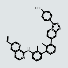 C=Cc1cnc2c(Nc3cccc(-c4cccc(-c5ccn6c(-c7ccc(C=O)cc7)nnc6c5)c4C)c3C)nccc2c1